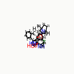 Cc1ccccc1-c1noc(C2CC2)c1CO[C@H]1C[C@H]2CC[C@@H](C1)N2c1ccc(C(=N)NO)c(F)c1